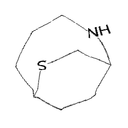 C1CNC2CCC(C1)SC2